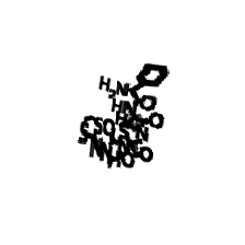 NC(C(=O)N[C@@H]1C(=O)N2C[C@@](C(=O)O)(N3CCN(N=C4SCCS4)C3=O)S[C@H]12)c1ccccc1